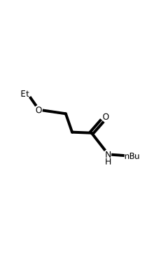 CCCCNC(=O)CCOCC